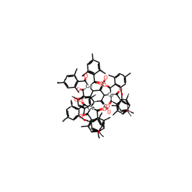 Cc1cc(C)c([C](=O)[Ge]([C](=O)c2c(C)cc(C)cc2C)([C](=O)c2c(C)cc(C)cc2C)[CH]2C(=C=O)[CH]([Ge]([C](=O)c3c(C)cc(C)cc3C)([C](=O)c3c(C)cc(C)cc3C)[C](=O)c3c(C)cc(C)cc3C)C(=C=O)[CH]([Ge]([C](=O)c3c(C)cc(C)cc3C)([C](=O)c3c(C)cc(C)cc3C)[C](=O)c3c(C)cc(C)cc3C)C2=C=O)c(C)c1